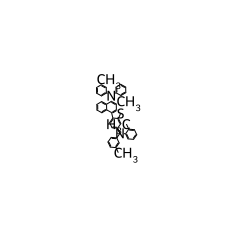 Cc1cccc(N(c2ccc3c(c2)sc2cc(N(c4cccc(C)c4)c4ccccc4C)c4ccccc4c23)c2ccccc2C)c1